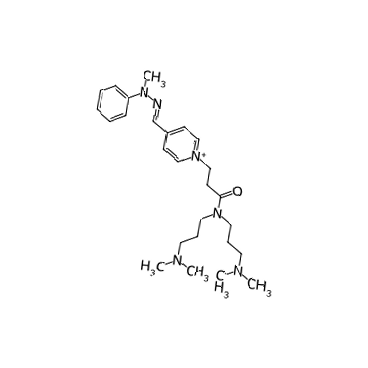 CN(C)CCCN(CCCN(C)C)C(=O)CC[n+]1ccc(/C=N/N(C)c2ccccc2)cc1